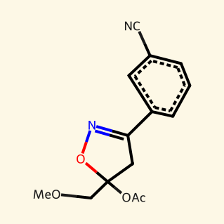 COCC1(OC(C)=O)CC(c2cccc(C#N)c2)=NO1